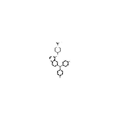 O=C(O)N1CCC(Nc2ncnc3ccc(C(c4ccc(Cl)cc4)c4ccc(Cl)cc4)cc23)CC1